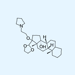 C[C@]12CCCCC1CC[C@@H]1[C@H]2CC[C@]2(C)C(OCCN3CCCC3)(C3OCCO3)CC[C@@]12O